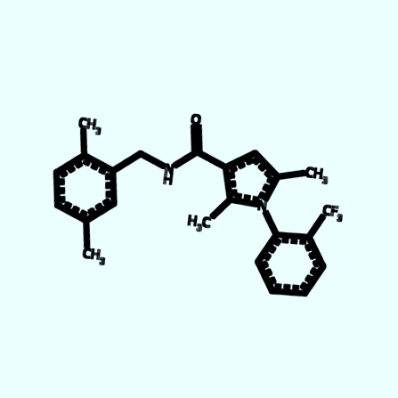 Cc1ccc(C)c(CNC(=O)c2cc(C)n(-c3ccccc3C(F)(F)F)c2C)c1